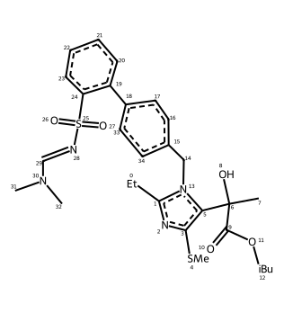 CCc1nc(SC)c(C(C)(O)C(=O)OC(C)CC)n1Cc1ccc(-c2ccccc2S(=O)(=O)N=CN(C)C)cc1